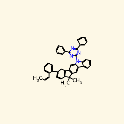 C/C=C\c1ccccc1C1=C=CC2=C(C1)c1cc3c(cc1C2(C)C)c1ccccc1n3-c1nc(-c2ccccc2)nc(-c2ccccc2)n1